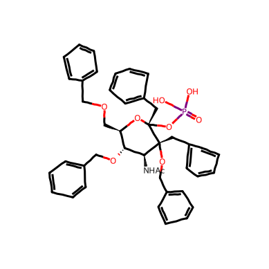 CC(=O)N[C@H]1[C@H](OCc2ccccc2)[C@@H](COCc2ccccc2)O[C@](Cc2ccccc2)(OP(=O)(O)O)[C@]1(Cc1ccccc1)OCc1ccccc1